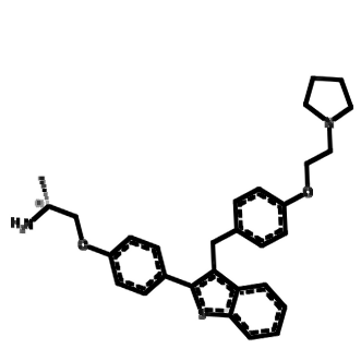 C[C@@H](N)COc1ccc(-c2sc3ccccc3c2Cc2ccc(OCCN3CCCC3)cc2)cc1